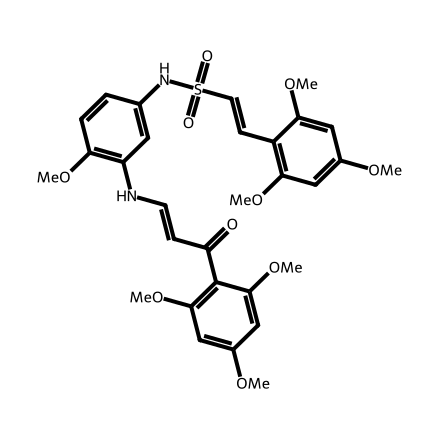 COc1cc(OC)c(/C=C/S(=O)(=O)Nc2ccc(OC)c(N/C=C/C(=O)c3c(OC)cc(OC)cc3OC)c2)c(OC)c1